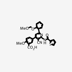 COCOc1ccccc1-c1cc(-c2ccc(OC)c(C(=O)O)c2)c(C#N)c(NC(=O)c2cccs2)n1